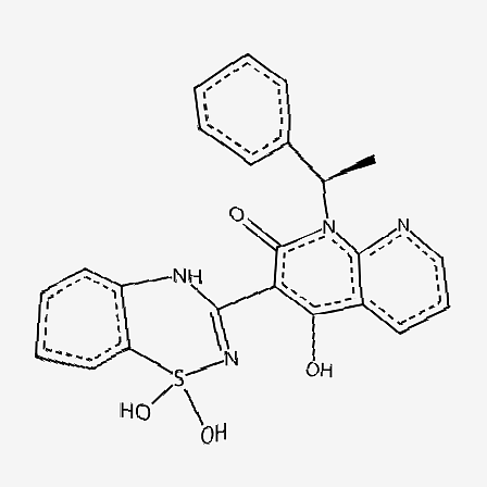 C[C@H](c1ccccc1)n1c(=O)c(C2=NS(O)(O)c3ccccc3N2)c(O)c2cccnc21